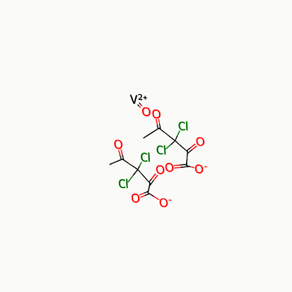 CC(=O)C(Cl)(Cl)C(=O)C(=O)[O-].CC(=O)C(Cl)(Cl)C(=O)C(=O)[O-].[O]=[V+2]